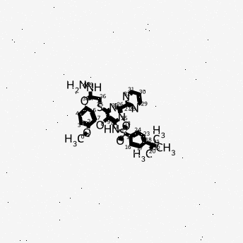 COc1ccccc1Oc1c(NS(=O)(=O)c2ccc(C(C)(C)C)cc2)nc(-c2ncccn2)nc1SCC(=O)NN